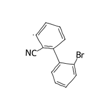 N#Cc1[c]cccc1-c1ccccc1Br